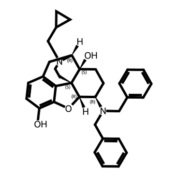 Oc1ccc2c3c1O[C@H]1[C@H](N(Cc4ccccc4)Cc4ccccc4)CC[C@@]4(O)[C@@H](C2)N(CC2CC2)CC[C@]314